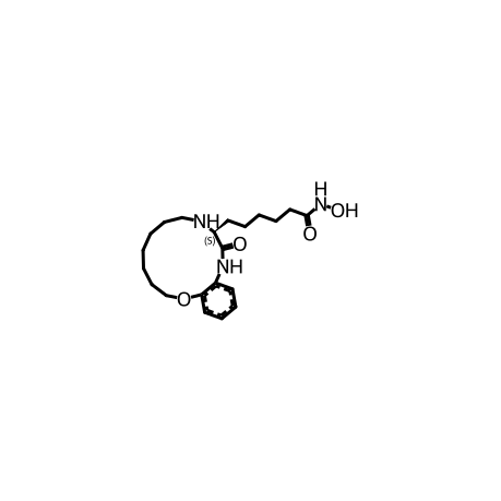 O=C(CCCCC[C@@H]1NCCCCCCCOc2ccccc2NC1=O)NO